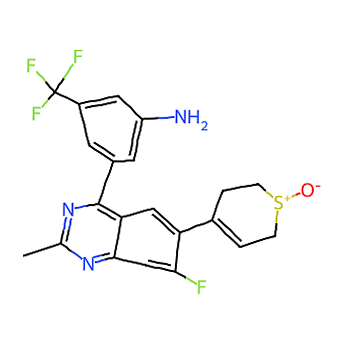 Cc1nc(-c2cc(N)cc(C(F)(F)F)c2)c2cc(C3=CC[S+]([O-])CC3)c(F)cc2n1